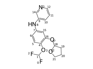 FC(F)Oc1ccc(Nc2cccnc2)cc1OC1CCCO1